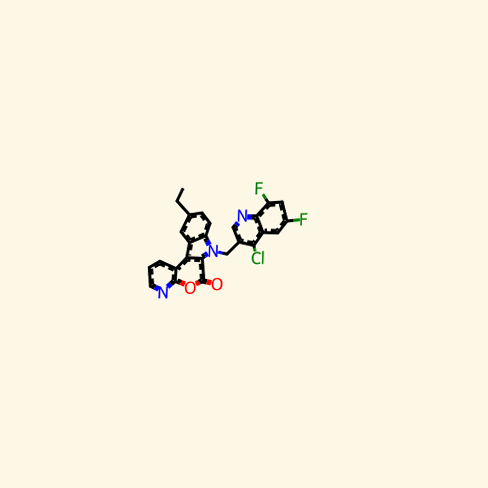 CCc1ccc2c(c1)c1c3cccnc3oc(=O)c1n2Cc1cnc2c(F)cc(F)cc2c1Cl